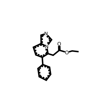 CCOC(=O)Cc1c(-c2ccccc2)ccc2cncn12